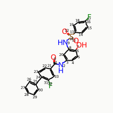 O=C(Nc1ccc(O)c(NS(=O)(=O)c2ccc(F)cc2)c1)c1ccc(-c2ccccc2)c(F)c1